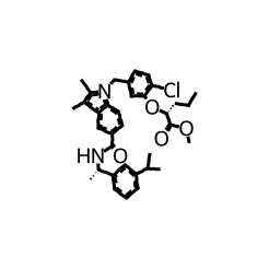 CCC[C@@H](Oc1cc(Cn2c(C)c(C)c3cc(C(=O)N[C@@H](C)c4cccc(C(C)C)c4)ccc32)ccc1Cl)C(=O)OC